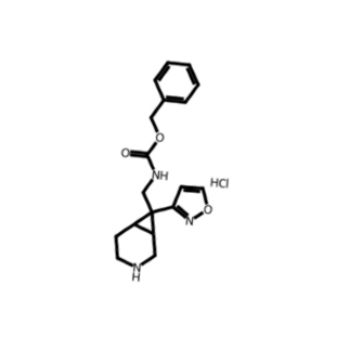 Cl.O=C(NCC1(c2ccon2)C2CCNCC21)OCc1ccccc1